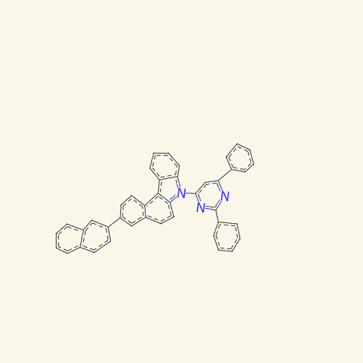 c1ccc(-c2cc(-n3c4ccccc4c4c5ccc(-c6ccc7ccccc7c6)cc5ccc43)nc(-c3ccccc3)n2)cc1